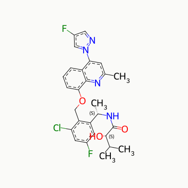 Cc1cc(-n2cc(F)cn2)c2cccc(OCc3c(Cl)cc(F)cc3[C@H](C)NC(=O)[C@@H](O)C(C)C)c2n1